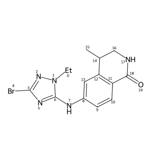 CCn1nc(Br)nc1Nc1ccc2c(c1)C(C)CNC2=O